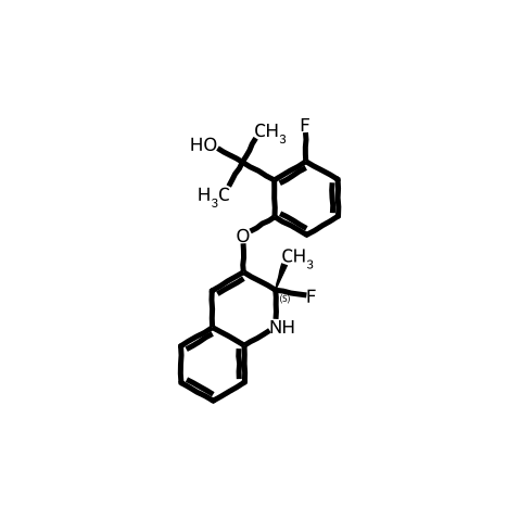 CC(C)(O)c1c(F)cccc1OC1=Cc2ccccc2N[C@@]1(C)F